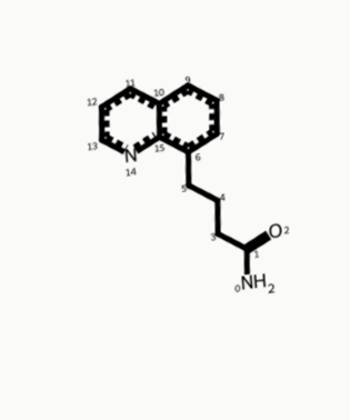 NC(=O)CCCc1cccc2cccnc12